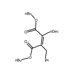 CCCCCCCCCC/C(C(=O)OCCCC)=C(\CC(C)C)C(=O)OCCCC